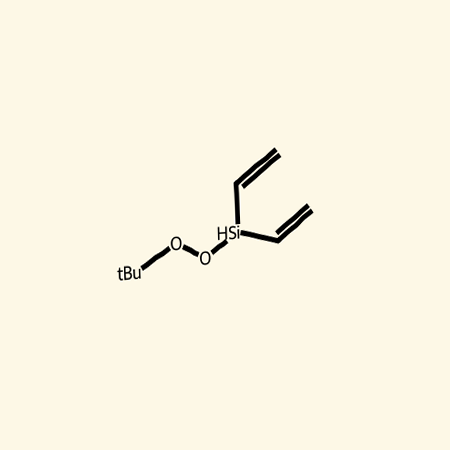 C=C[SiH](C=C)OOC(C)(C)C